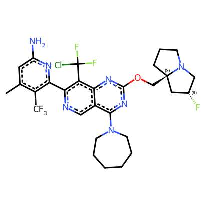 Cc1cc(N)nc(-c2ncc3c(N4CCCCCC4)nc(OC[C@@]45CCCN4C[C@H](F)C5)nc3c2C(F)(F)Cl)c1C(F)(F)F